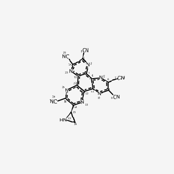 N#Cc1nc2c3nc(C#N)c(C#N)nc3c3nc([C@H]4CN4)c(C#N)nc3c2nc1C#N